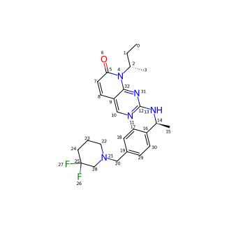 CC[C@H](C)n1c(=O)ccc2cnc(N[C@@H](C)c3ccc(CN4CCCC(F)(F)C4)cc3)nc21